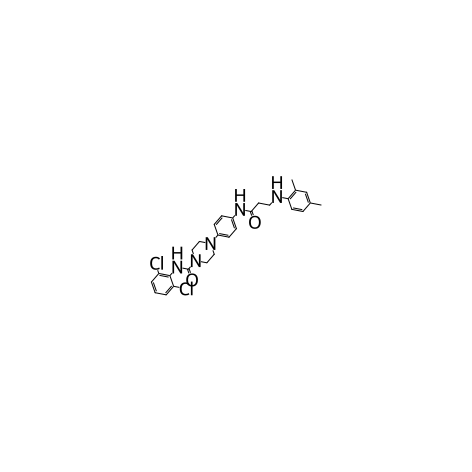 Cc1ccc(NCCC(=O)Nc2ccc(N3CCN(C(=O)Nc4c(Cl)cccc4Cl)CC3)cc2)c(C)c1